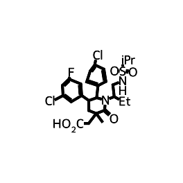 CCC(CNS(=O)(=O)C(C)C)N1C(=O)C(C)(CC(=O)O)CC(c2cc(F)cc(Cl)c2)C1c1ccc(Cl)cc1